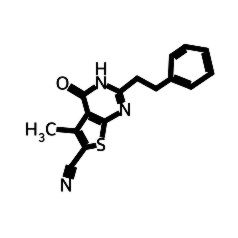 Cc1c(C#N)sc2nc(CCc3ccccc3)[nH]c(=O)c12